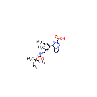 C=C/C=C(\C=C(/C)CNC(=O)OC(C)(C)C)c1nc(C(=O)O)nn2cccc12